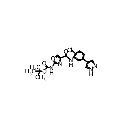 CC(C)(C)OC(=O)Nc1nc(C(=O)Nc2cc(-c3cn[nH]c3)ccc2Cl)co1